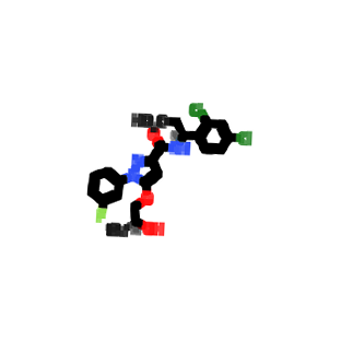 CC(C)(C)[C@@H](O)COc1cc(C(=O)N[C@@H](CC(=O)O)c2ccc(Cl)cc2Cl)nn1-c1cccc(F)c1